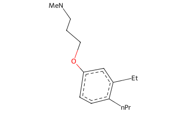 CCCc1ccc(OCCCNC)cc1CC